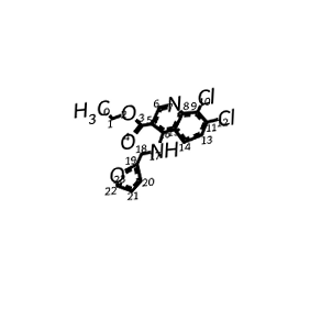 CCOC(=O)c1cnc2c(Cl)c(Cl)ccc2c1NCc1ccco1